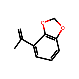 C=C(C)c1cccc2c1OCO2